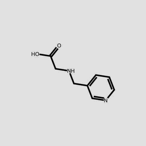 O=C(O)CNCc1cccnc1